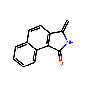 C=C1NC(=O)c2c1ccc1ccccc21